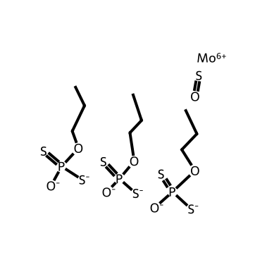 CCCOP([O-])(=S)[S-].CCCOP([O-])(=S)[S-].CCCOP([O-])(=S)[S-].O=S.[Mo+6]